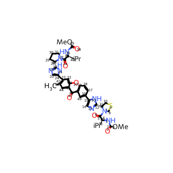 COC(=O)N[C@H](C(=O)N1CSC[C@H]1c1ncc(-c2ccc3oc4cc(-c5cnc([C@@H]6CCCN6C(=O)[C@@H](NC(=O)OC)C(C)C)[nH]5)c(C)cc4c(=O)c3c2)[nH]1)C(C)C